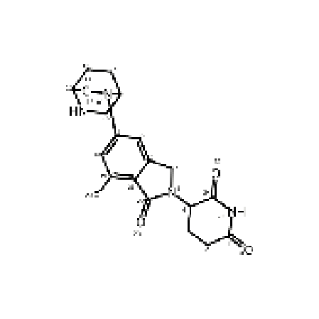 O=C1CCC(N2Cc3cc(N4CC5CCC4CN5)cc(F)c3C2=O)C(=O)N1